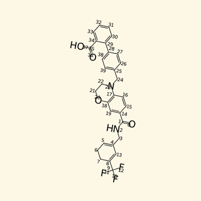 O=C(NCC1=CCCC(C(F)(F)F)=C1)c1ccc2c(c1)OCCN2Cc1ccc(-c2ccccc2C(=O)O)cc1